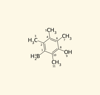 Bc1c(C)c(C)c(C)c(O)c1C